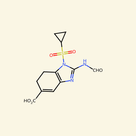 O=CNc1nc2c(n1S(=O)(=O)C1CC1)CCC(C(=O)O)=C2